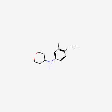 COc1ccc(NC2CCOCC2)cc1C